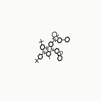 Cc1cc2c3c(c1)N(c1ccc4oc5ccccc5c4c1)c1cc(N4c5ccc(-c6ccccc6)cc5C5(C)CCCCC45C)ccc1B3c1cc(C(C)(C)C)ccc1N2c1ccc(C(C)(C)C)cc1